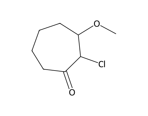 COC1CCCCC(=O)C1Cl